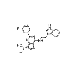 CCC(O)n1cnc2c(NCCc3c[nH]c4ccccc34)nc(-c3cncc(F)c3)nc21